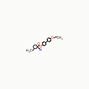 CCCOc1ccc(-c2ccc(OC(=O)C3(C#N)CCCC(CC)C3)cc2)cc1